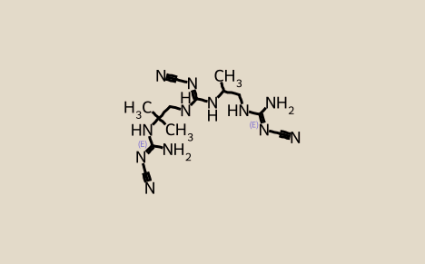 CC(CN/C(N)=N/C#N)NC(=NC#N)NCC(C)(C)N/C(N)=N/C#N